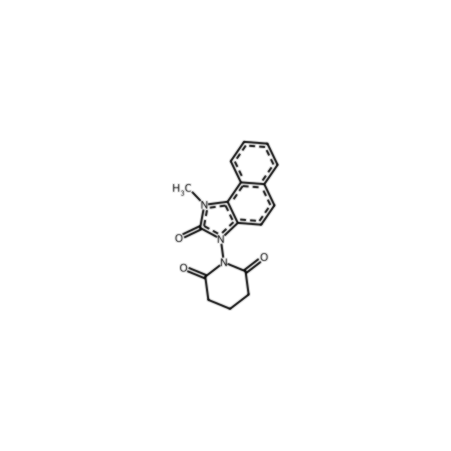 Cn1c(=O)n(N2C(=O)CCCC2=O)c2ccc3ccccc3c21